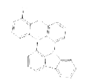 Cc1cccc2c1Oc1cccc3c1B2c1cccc2c4ccccc4n-3c12